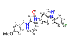 COc1ccc(CNC2CC(=O)N(c3ccc4c(cnn4-c4ccc(F)cc4)c3)C2CC2CC2)cc1